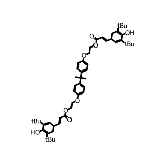 CC(C)(C)C1=CC(C=CC(=O)OCCOc2ccc(C(C)(C)c3ccc(OCCOC(=O)C=CC4C=C(C(C)(C)C)C(O)=C(C(C)(C)C)C4)cc3)cc2)CC(C(C)(C)C)=C1O